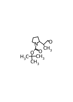 CC(C=O)C1CCCN1C(=O)OC(C)(C)C